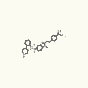 Cn1c(CCc2ccc(C(=N)N)cc2)nc2cc(NS(=O)(=O)c3ccccc3C3CCNCC3)ccc21